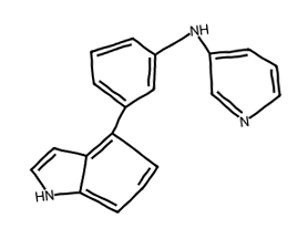 c1cncc(Nc2cccc(-c3cccc4[nH]ccc34)c2)c1